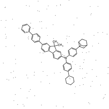 CC1(C)c2cc(-c3ccc(-c4ccccc4)cc3)ccc2-c2ccc(N(c3ccc(C4CCCCC4)cc3)c3ccc(C4CC5CCC4CC5)cc3)cc21